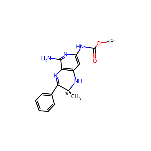 CC(C)OC(=O)Nc1cc2c(c(N)n1)N=C(c1ccccc1)[C@H](C)N2